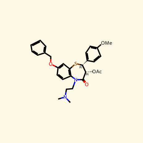 COc1ccc([C@H]2Sc3cc(OCc4ccccc4)ccc3N(CCN(C)C)C(=O)[C@H]2OC(C)=O)cc1